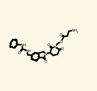 NCCC(=O)OCN1C(=O)CCC(N2Cc3cc(CNC(=O)Nc4ccccc4)ccc3C2=O)C1=O